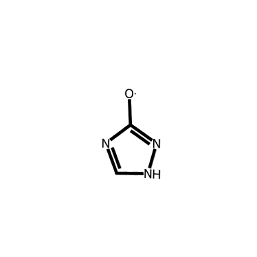 [O]c1nc[nH]n1